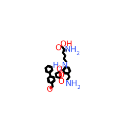 NCCCC[C@H](N)C(=O)O.NCCc1ccccc1.O=C1CCC(=O)O1.O=Cc1ccc(-c2ccccc2)cc1